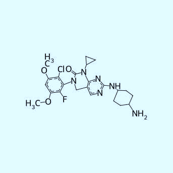 COc1cc(OC)c(Cl)c(N2Cc3cnc(NC4CCC(N)CC4)nc3N(C3CC3)C2=O)c1F